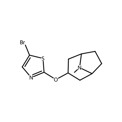 CN1C2CCC1CC(Oc1ncc(Br)s1)C2